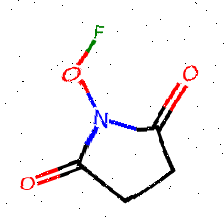 O=C1CCC(=O)N1OF